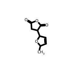 CC1C=CC(C2CC(=O)OC2=O)O1